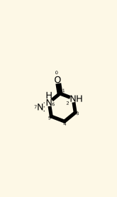 O=C1NCCCN1.[N]